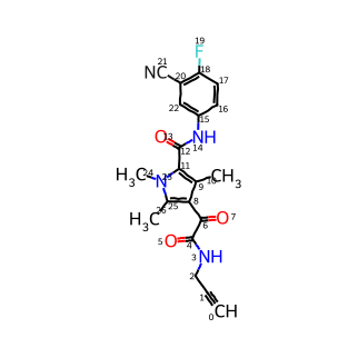 C#CCNC(=O)C(=O)c1c(C)c(C(=O)Nc2ccc(F)c(C#N)c2)n(C)c1C